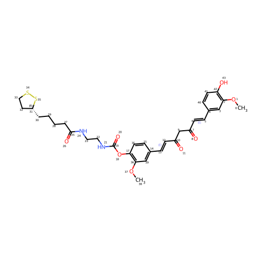 COc1cc(/C=C/C(=O)CC(=O)/C=C/c2ccc(OC(=O)NCCNC(=O)CCCC[C@@H]3CCSS3)c(OC)c2)ccc1O